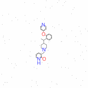 CC(c1ccccc1Oc1ccncc1)C1CCN(Cc2ccc[nH]c2=O)CC1